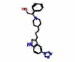 OCC(c1ccccc1)N1CCC(CCCc2c[nH]c3ccc(-n4cnnc4)cc23)CC1